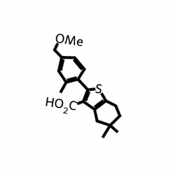 COCc1ccc(-c2sc3c(c2C(=O)O)CC(C)(C)CC3)c(C)c1